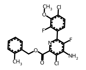 COc1c(Cl)ccc(-c2nc(C(=O)OCc3ccccc3C)c(Cl)c(N)c2F)c1F